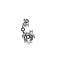 CCn1c(=S)[nH]c2cc3c(NCc4ccc(CNCc5ccccn5)cc4)ncnc3cc21